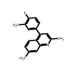 Cc1ccc2c(-c3ccc(F)c(C)c3)cc(C)nc2c1